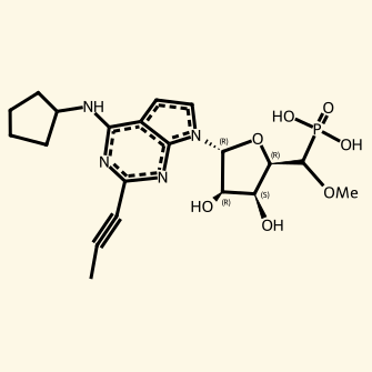 CC#Cc1nc(NC2CCCC2)c2ccn([C@@H]3O[C@@H](C(OC)P(=O)(O)O)[C@@H](O)[C@H]3O)c2n1